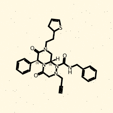 C#CCN1CC(=O)N2[C@@H](c3ccccc3)C(=O)N(CCC3CC=CS3)C[C@@H]2N1C(=O)NCc1ccccc1